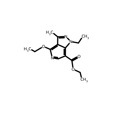 CCOC(=O)c1cnc(OCC)c2c(C)nn(CC)c12